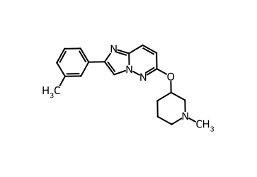 Cc1cccc(-c2cn3nc(OC4CCCN(C)C4)ccc3n2)c1